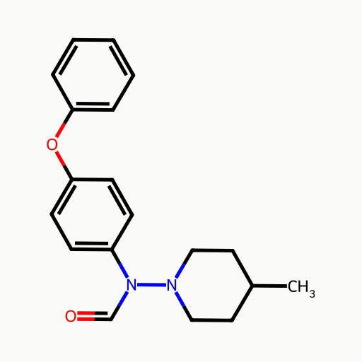 CC1CCN(N(C=O)c2ccc(Oc3ccccc3)cc2)CC1